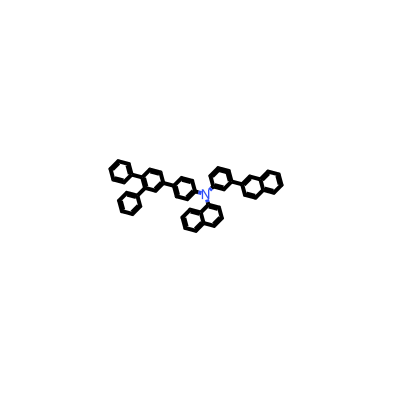 C1=C=C(c2ccc3ccccc3c2)C=C(N(c2ccc(-c3ccc(-c4ccccc4)c(-c4ccccc4)c3)cc2)c2cccc3ccccc23)C=1